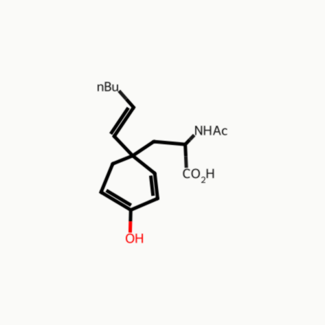 CCCCC=CC1(CC(NC(C)=O)C(=O)O)C=CC(O)=CC1